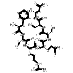 CC(C)C[C@H](NC(=O)[C@H](CO)NC(=O)[C@H](CCC(N)=O)NC(=O)[C@H](CCCNC(=N)N)NC(=O)[C@H](CC(C)C)NC(=O)[C@@H](N)Cc1ccccc1)C(=O)N[C@@H](CC(N)=O)C(=O)O